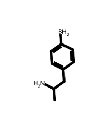 Bc1ccc(CC(C)N)cc1